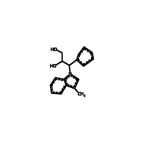 Cc1cn(C(c2ccccc2)C(O)CO)c2ccccc12